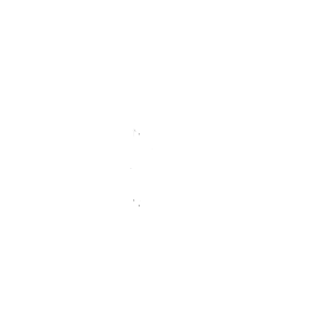 O=S(=O)(c1ccc(F)cc1F)N1CCOC2(CCN(C3CCOCC3)C2)C1